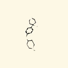 CC(C)N1CCC(Oc2ccc(C3(N)CCOCC3)cc2)CC1